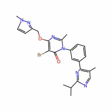 Cc1cnc(C(C)C)nc1-c1cccc(-n2c(C)nc(OCc3ccn(C)n3)c(Br)c2=O)c1